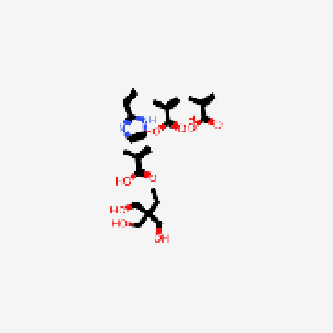 C=C(C)C(=O)O.C=C(C)C(=O)O.C=C(C)C(=O)O.C=Cc1ncc[nH]1.CCC(CO)(CO)CO